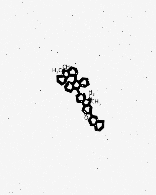 CC1(C)c2cc(-c3c4ccccc4c(-c4cccc5c4-c4ccccc4C5(C)C)c4ccccc34)ccc2-c2cc3oc4cc5ccccc5cc4c3cc21